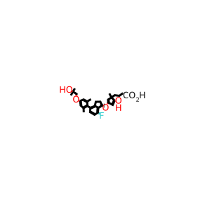 Cc1cc(OCC(C)(C)O)cc(C)c1-c1ccc(F)c2c1CC[C@H]2OC1=CC(C)(CCCC(=O)O)C(O)=C1